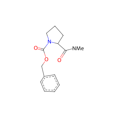 CNC(=O)C1CCCN1C(=O)OCc1ccccc1